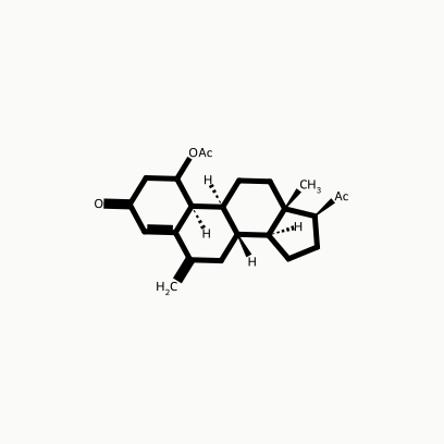 C=C1C[C@@H]2[C@H](CC[C@]3(C)[C@@H](C(C)=O)CC[C@@H]23)[C@H]2C1=CC(=O)CC2OC(C)=O